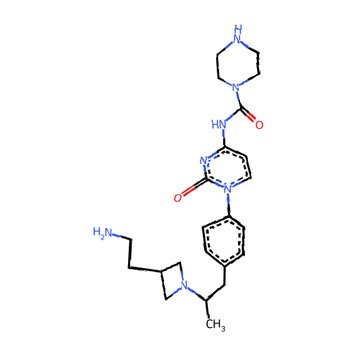 CC(Cc1ccc(-n2ccc(NC(=O)N3CCNCC3)nc2=O)cc1)N1CC(CCN)C1